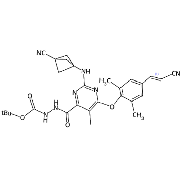 Cc1cc(/C=C/C#N)cc(C)c1Oc1nc(NC23CC(C#N)(C2)C3)nc(C(=O)NNC(=O)OC(C)(C)C)c1I